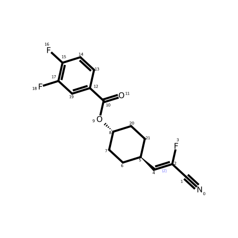 N#C/C(F)=C/[C@H]1CC[C@H](OC(=O)c2ccc(F)c(F)c2)CC1